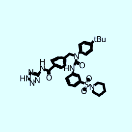 CC(C)(C)c1ccc(N(Cc2ccc(C(=O)Nc3nn[nH]n3)cc2)C(=O)Nc2cccc(S(=O)(=O)N3CCCCC3)c2)cc1